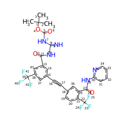 CC(C)(C)OC(=O)NC(=N)NC(=O)c1cc(C#Cc2ccc(C(F)(F)F)c(C(=O)Nc3ccccn3)c2)cc(C(F)(F)F)c1